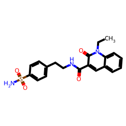 CCn1c(=O)c(C(=O)NCCc2ccc(S(N)(=O)=O)cc2)cc2ccccc21